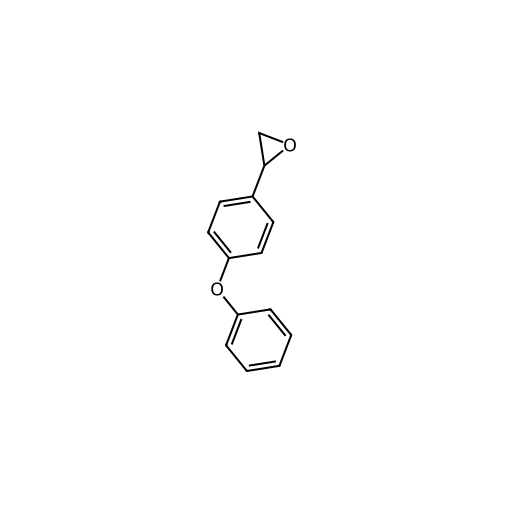 c1ccc(Oc2ccc(C3CO3)cc2)cc1